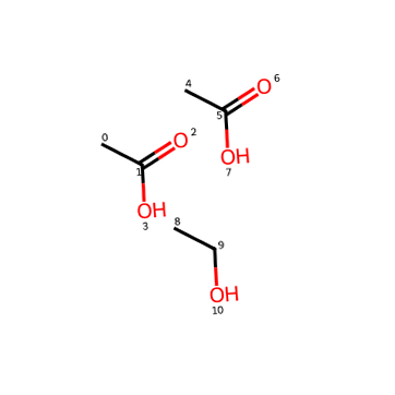 CC(=O)O.CC(=O)O.CCO